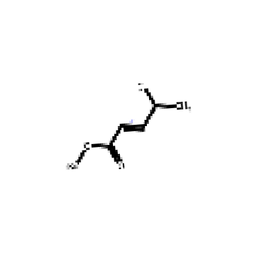 CCCCOC(=O)/C=C/C(C)Cl